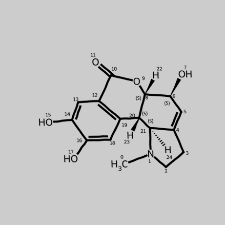 CN1CCC2=C[C@H](O)[C@H]3OC(=O)c4cc(O)c(O)cc4[C@H]3[C@@H]21